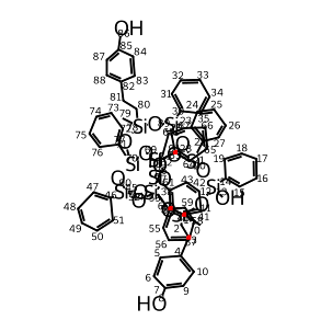 C[Si]1(CCc2ccc(O)cc2)O[Si](O)(c2ccccc2)O[Si]2(c3ccccc3)O[Si]3(c4ccccc4)O[SiH](c4ccccc4)O[Si]4(c5ccccc5)O[Si](c5ccccc5)(O1)O[Si](c1ccccc1)(O[Si](c1ccccc1)(O[Si](C)(CCc1ccc(O)cc1)O3)O4)O2